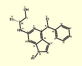 CC[C@H](CO)Nc1nc(N(CC)c2ccccc2)c2ncn(C(C)C)c2n1